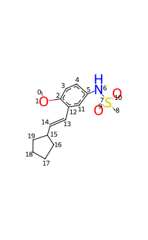 COc1ccc(NS(C)(=O)=O)cc1C=CC1CCCC1